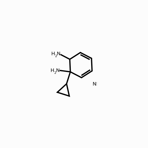 NC1C=CC=CC1(N)C1CC1.[N]